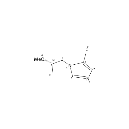 CO[C@@H](C)Cn1cncc1F